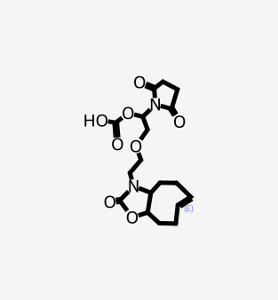 O=C(O)OC(COCCN1C(=O)OC2CC/C=C/CCC21)N1C(=O)CCC1=O